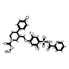 CC(C)(C)OC(=O)N1CCC(c2ccc(Cl)cc2)C(COc2cc(F)c(S(=O)(=O)NC(=O)c3ccccn3)cc2F)C1